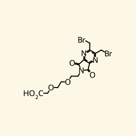 O=C(O)COCCOCCN1C(=O)c2nc(CBr)c(CBr)nc2C1=O